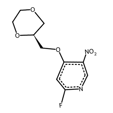 O=[N+]([O-])c1cnc(F)cc1OC[C@@H]1COCCO1